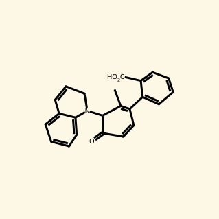 CC1=C(c2ccccc2C(=O)O)C=CC(=O)C1N1CC=Cc2ccccc21